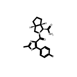 Cc1nc(C(=O)N2C[C@@H]3CCC[C@@H]3[C@H]2C(N)=O)c(-c2ccc(F)cc2)s1